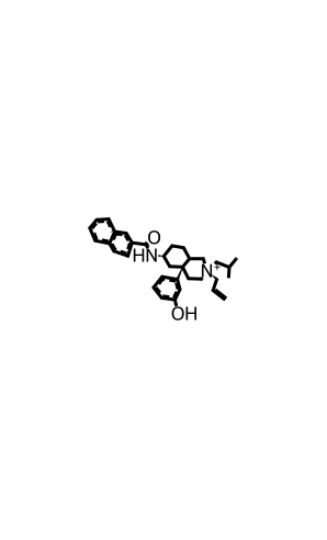 C=CC[N@@+]1(CC(C)C)CC[C@]2(c3cccc(O)c3)C[C@H](NC(=O)c3ccc4ccccc4c3)CCC2C1